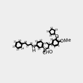 COc1ccc(C(C)CN(C=O)c2cccc(NCCCc3ccccc3)c2)cc1OC1CCCC1